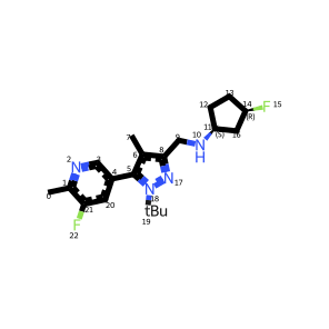 Cc1ncc(-c2c(C)c(CN[C@H]3CC[C@@H](F)C3)nn2C(C)(C)C)cc1F